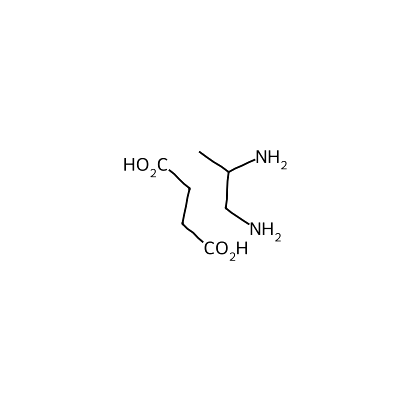 CC(N)CN.O=C(O)CCC(=O)O